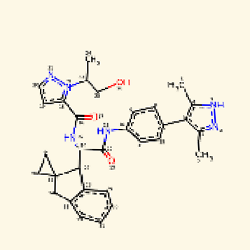 Cc1n[nH]c(C)c1-c1ccc(NC(=O)[C@@H](NC(=O)c2ccnn2C(C)CO)C2c3ccccc3CC23CC3)cc1